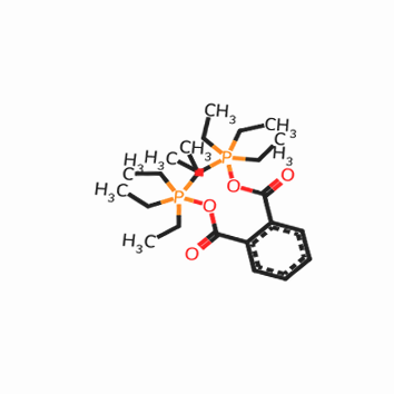 CCP(CC)(CC)(CC)OC(=O)c1ccccc1C(=O)OP(CC)(CC)(CC)CC